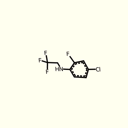 Fc1cc(Cl)ccc1NCC(F)(F)F